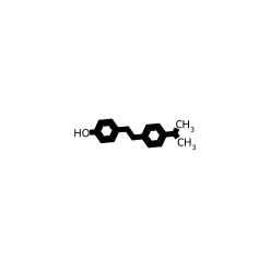 CC(C)c1ccc(CCc2ccc(O)cc2)cc1